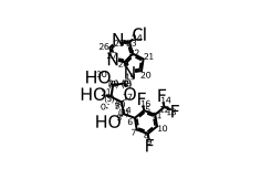 C[C@@]1(O)[C@@H]([C@H](O)c2cc(F)cc(C(F)F)c2F)O[C@@H](n2ccc3c(Cl)ncnc32)[C@@H]1O